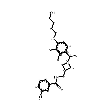 Cc1c(OCCCCO)ccc(C(C)N2CC(CNC(=O)c3cccc(Cl)c3)C2)c1C